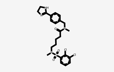 CN(Cc1ccc(C2=NCCN2)cc1)C(=O)CCCCN(C)S(=O)(=O)c1cccc(Cl)c1Cl